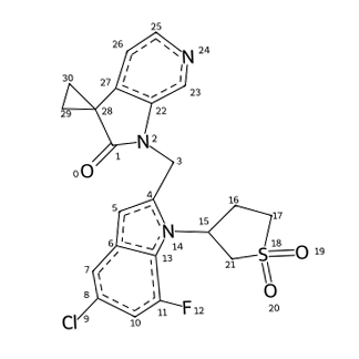 O=C1N(Cc2cc3cc(Cl)cc(F)c3n2C2CCS(=O)(=O)C2)c2cnccc2C12CC2